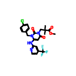 COC(=O)C(C)(C)Cn1c(=O)cc(Nc2cc(C(F)(F)F)ccn2)n(Cc2ccc(Cl)cc2)c1=O